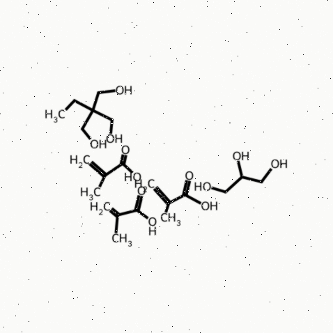 C=C(C)C(=O)O.C=C(C)C(=O)O.C=C(C)C(=O)O.CCC(CO)(CO)CO.OCC(O)CO